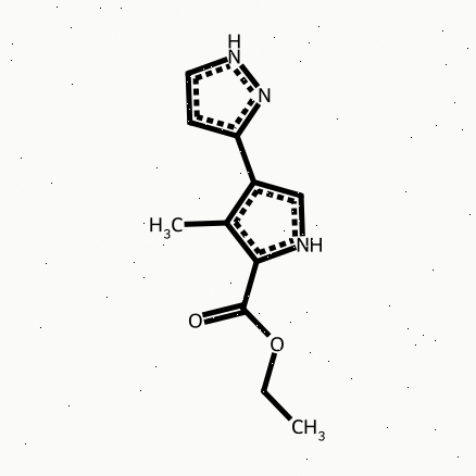 CCOC(=O)c1[nH]cc(-c2cc[nH]n2)c1C